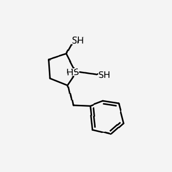 SC1CCC(Cc2ccccc2)[SH]1S